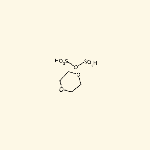 C1COCCO1.O=S(=O)(O)OS(=O)(=O)O